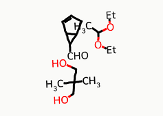 CC(C)(CO)CO.CCOC(C)OCC.O=CC1C2C=CCC12